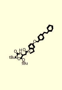 CC(C)(C)OC(=O)NC(CC(=O)N1CCc2cc(OCc3ccc(CCc4ccccc4)cc3)ccc21)C(=O)OC(C)(C)C